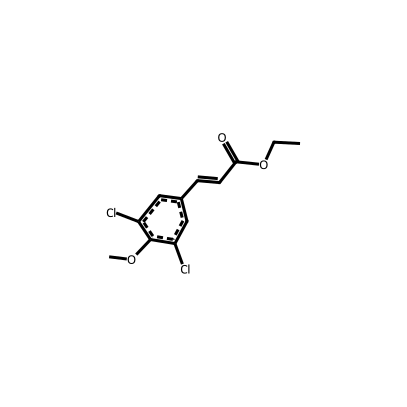 CCOC(=O)/C=C/c1cc(Cl)c(OC)c(Cl)c1